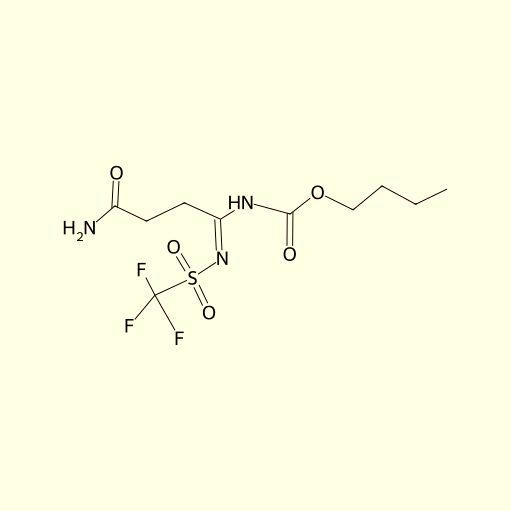 CCCCOC(=O)NC(CCC(N)=O)=NS(=O)(=O)C(F)(F)F